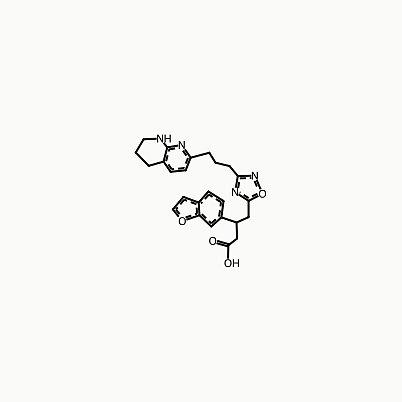 O=C(O)CC(Cc1nc(CCCc2ccc3c(n2)NCCC3)no1)c1ccc2ccoc2c1